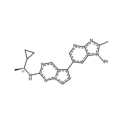 Cc1nc2ncc(-c3ccn4nc(N[C@@H](C)C5CC5)ncc34)cc2n1C(C)C